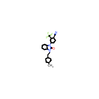 Cc1ccc(CCn2c(=O)n(-c3ccc(C#N)c(C(F)(F)F)c3)c3ccccc32)cc1